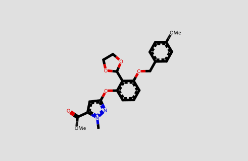 COC(=O)c1cc(Oc2cccc(OCc3ccc(OC)cc3)c2C2OCCO2)nn1C